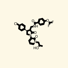 CC(O)Cn1cccc(N2C[C@@H](c3ccc(Cl)cc3)C(CNC(=O)c3ccc(OC(F)F)cc3)C2=O)c1=O